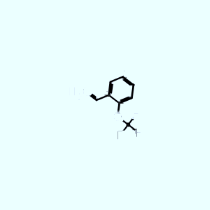 C=Cc1c[c]ccc1OC(F)(F)F